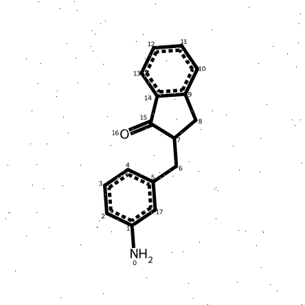 Nc1cccc(CC2Cc3ccccc3C2=O)c1